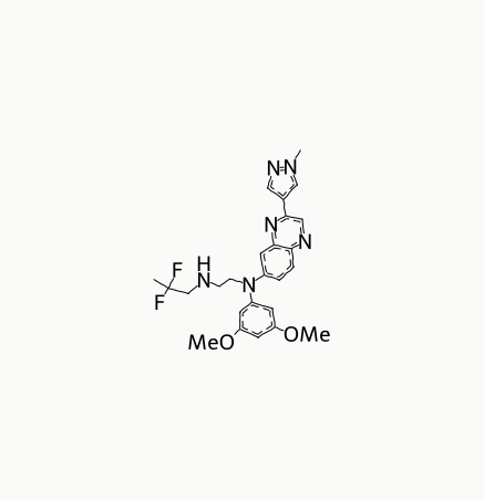 COc1cc(OC)cc(N(CCNCC(C)(F)F)c2ccc3ncc(-c4cnn(C)c4)nc3c2)c1